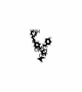 CC1(Oc2ncnc3c2nc(-c2ccc(OCCN4CCNCC4)cc2Cl)n3CCc2ccccc2)CC1